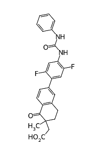 CC1(CC(=O)O)CCc2cc(-c3cc(F)c(NC(=O)Nc4ccccc4)cc3F)ccc2C1=O